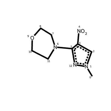 Cn1cc([N+](=O)[O-])c(N2CCOCC2)n1